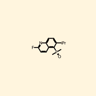 CC(C)c1ccc2nc(F)ccc2c1P(C)(C)=O